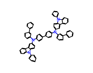 c1ccc(-c2cccc(N(c3ccc(-c4ccc(N(c5cccc(-c6ccccc6)c5)c5ccc6c(c5)c5ccccc5n6-c5ccccc5)cc4)cc3)c3ccc4c(c3)c3ccccc3n4-c3ccccc3)c2)cc1